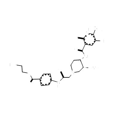 CO[C@H]1CN(CC(=O)Nc2ccc(C(=O)OCCO)cc2)CC[C@H]1NC(=O)c1cc(Cl)c(N)[nH]c1=O